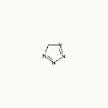 C1N=NN=N1